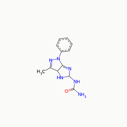 CC1=NN(c2ccccc2)C2=NC(NC(N)=O)NC12